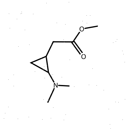 COC(=O)CC1CC1N(C)C